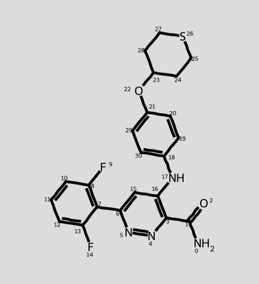 NC(=O)c1nnc(-c2c(F)cccc2F)cc1Nc1ccc(OC2CCSCC2)cc1